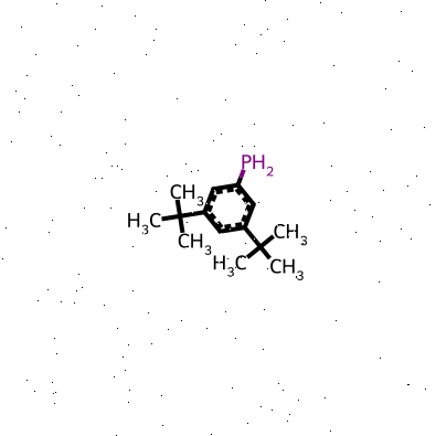 CC(C)(C)c1cc(P)cc(C(C)(C)C)c1